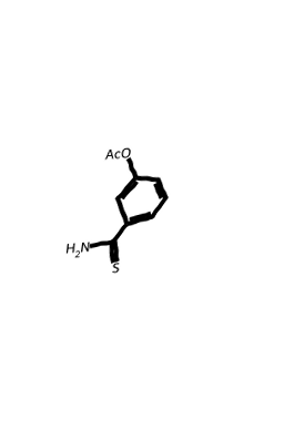 CC(=O)Oc1cccc(C(N)=S)c1